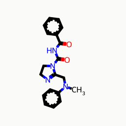 CN(CC1=NCCN1C(=O)NC(=O)c1ccccc1)c1ccccc1